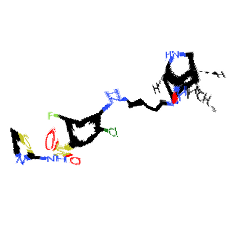 C[C@@H]1C[C@H]2NC[C@@H]1[C@@H]2NCCCCNc1cc(F)c(S(=O)(=O)Nc2nccs2)cc1Cl